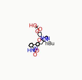 CCCCc1c(Cc2ccc(-c3ccccc3-c3noc(=O)[nH]3)cc2)c(=O)n([C@H]2CC[C@H](OC(=O)C(C)(C)O)CC2)c2ccnn12